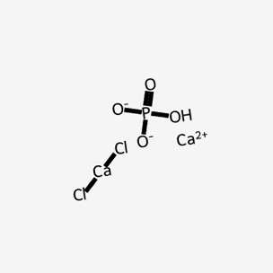 O=P([O-])([O-])O.[Ca+2].[Cl][Ca][Cl]